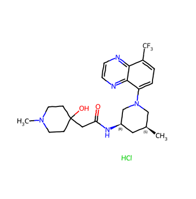 C[C@H]1C[C@@H](NC(=O)CC2(O)CCN(C)CC2)CN(c2ccc(C(F)(F)F)c3nccnc23)C1.Cl